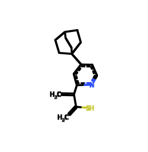 C=C(S)C(=C)c1cc(C23CCC(CC2)CC3)ccn1